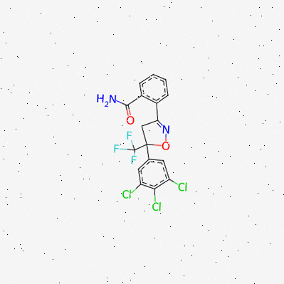 NC(=O)c1ccccc1C1=NOC(c2cc(Cl)c(Cl)c(Cl)c2)(C(F)(F)F)C1